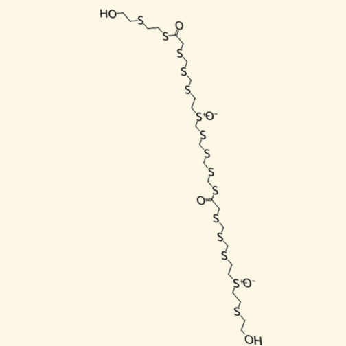 O=C(CSCSCSCC[S+]([O-])CSCSCSCSC(=O)CSCSCSCC[S+]([O-])CCSCCO)SCCSCCO